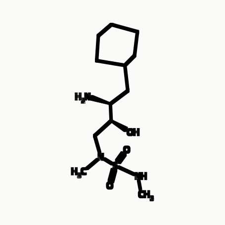 CNS(=O)(=O)N(C)C[C@H](O)[C@@H](N)CC1CCCCC1